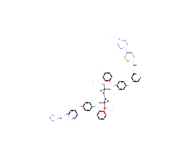 CN1CCN(C2CCN(C(=O)Nc3cc(Oc4ccc(N(C(=O)C5(C(N)=O)CC5C5CC5(C(N)=O)C(=O)N(c5ccc(F)cc5)c5ccc(Oc6ccnc(NC(=O)N7CCC7)c6)cc5F)c5ccc(F)cc5)c(F)c4)ccn3)CC2)CC1